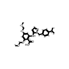 COCOc1cc(Nc2ccnn2Cc2ccc(C(C)C)cc2)c(C(=O)O)c(OCOC)c1